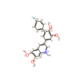 COc1cc2cc(-c3cc(OC)c(OC)c(-c4ccc(F)cc4)c3)c[n+](C)c2cc1OC